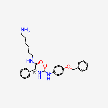 NCCCCCCNC(=O)[C@H](NC(=O)Nc1ccc(OCc2ccccc2)cc1)c1ccccc1